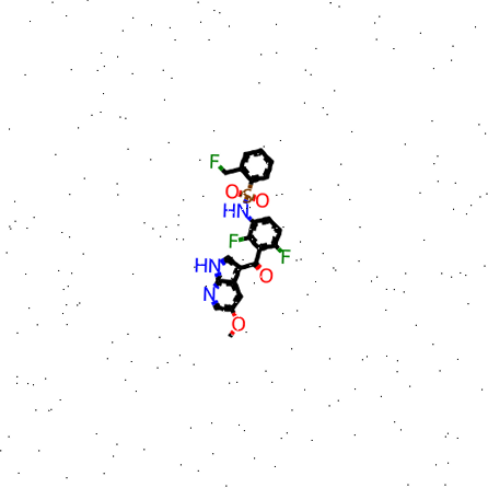 COc1cnc2[nH]cc(C(=O)c3c(F)ccc(NS(=O)(=O)c4ccccc4CF)c3F)c2c1